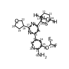 Nc1ncc(-c2cc(N3C[C@@H]4CC[C@H]3CS4)nc(C3CCOC3)n2)cc1OC(F)F